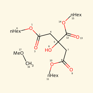 CCCCCCOC(=O)CC(O)(CC(=O)OCCCCCC)C(=O)OCCCCCC.COC